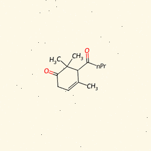 CCCC(=O)C1C(C)=CCC(=O)C1(C)C